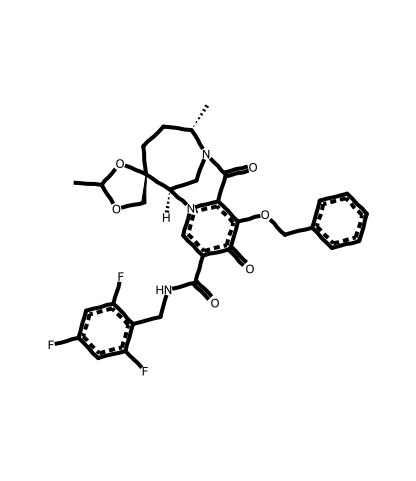 CC1OC[C@]2(CC[C@H](C)N3C[C@H]2n2cc(C(=O)NCc4c(F)cc(F)cc4F)c(=O)c(OCc4ccccc4)c2C3=O)O1